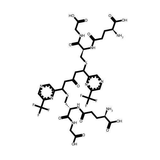 N[C@H](CCC(=O)N[C@@H](CSC(CC(=O)CC(SC[C@H](NC(=O)CC[C@H](N)C(=O)O)C(=O)NCC(=O)O)c1cncc(C(F)(F)F)n1)c1cncc(C(F)(F)F)n1)C(=O)NCC(=O)O)C(=O)O